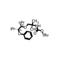 CCC[C@@H](OC[C@@](C)(C=O)NC(=O)OC(C)(C)C)[C@H](Oc1ccccc1)C(C)C